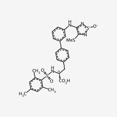 CSc1n[s+]([O-])nc1Nc1cccc(-c2ccc(C[C@H](NS(=O)(=O)c3c(C)cc(C)cc3C)C(=O)O)cc2)c1